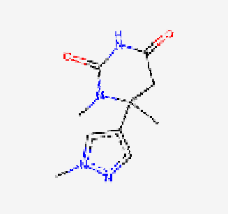 CN1C(=O)NC(=O)CC1(C)c1cnn(C)c1